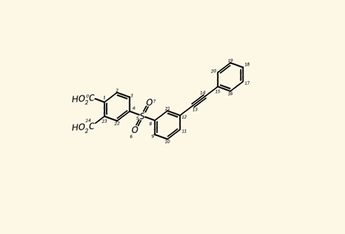 O=C(O)c1ccc(S(=O)(=O)c2cccc(C#Cc3ccccc3)c2)cc1C(=O)O